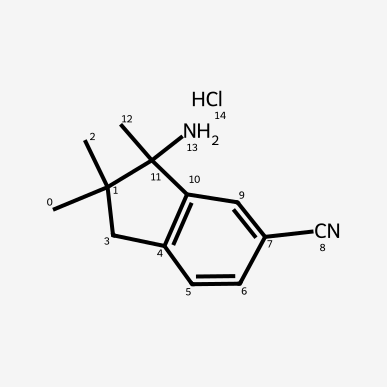 CC1(C)Cc2ccc(C#N)cc2C1(C)N.Cl